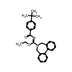 CCOC(=NC(=O)c1ccc(C(C)(C)C)cc1)N1Cc2ccccc2-c2ccccc2C1